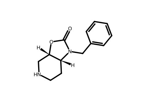 O=C1O[C@H]2CNCC[C@H]2N1Cc1ccccc1